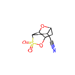 N#CC1C2CC3OS(=O)(=O)C1C3O2